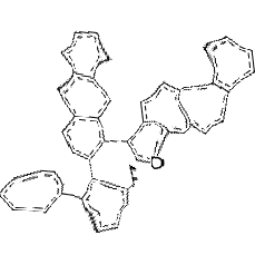 Fc1cccc(-c2ccccc2)c1-c1ccc2cc3ccccc3cc2c1-c1coc2c1ccc1c3ccccc3ccc12